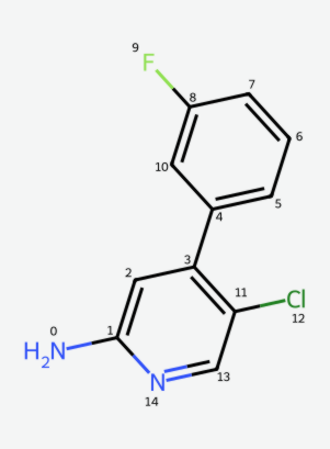 Nc1cc(-c2cccc(F)c2)c(Cl)cn1